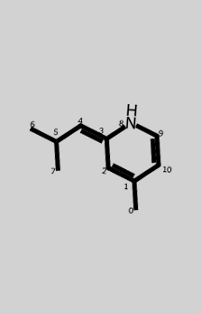 CC1=C/C(=C\C(C)C)NC=C1